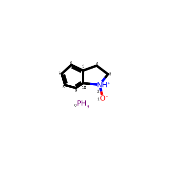 P.[O-][NH+]1CCc2ccccc21